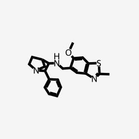 COc1cc2sc(C)nc2cc1CNC1C2CCN(C2)C1c1ccccc1